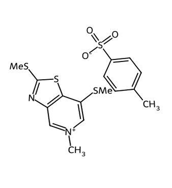 CSc1nc2c[n+](C)cc(SC)c2s1.Cc1ccc(S(=O)(=O)[O-])cc1